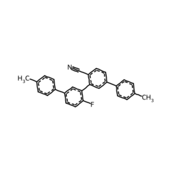 Cc1ccc(-c2ccc(F)c(-c3cc(-c4ccc(C)cc4)ccc3C#N)c2)cc1